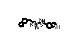 N[C@H](CNc1nnc(-c2ccc3[nH]ncc3c2)s1)Cc1ccc2ccccc2c1